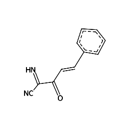 N#CC(=N)C(=O)/C=C/c1ccccc1